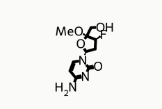 CO[C@]1(CO)O[C@@H](n2ccc(N)nc2=O)C[C@@H]1F